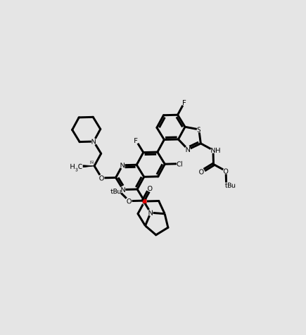 C[C@@H](CN1CCCCC1)Oc1nc(N2CC3CCC(C2)N3C(=O)OC(C)(C)C)c2cc(Cl)c(-c3ccc(F)c4sc(NC(=O)OC(C)(C)C)nc34)c(F)c2n1